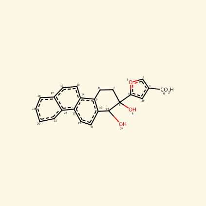 O=C(O)c1coc(C2(O)CCc3c(ccc4c3ccc3ccccc34)C2O)c1